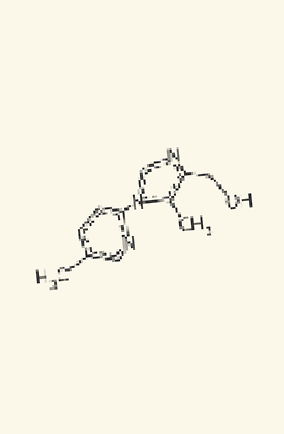 Cc1ccc(-n2cnc(CO)c2C)nc1